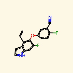 C=Cc1c(Oc2ccc(F)c(C#N)c2)c(F)cc2[nH]ccc12